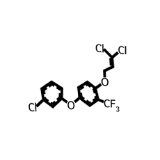 FC(F)(F)c1cc(Oc2cccc(Cl)c2)ccc1OCC=C(Cl)Cl